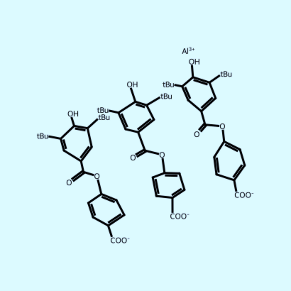 CC(C)(C)c1cc(C(=O)Oc2ccc(C(=O)[O-])cc2)cc(C(C)(C)C)c1O.CC(C)(C)c1cc(C(=O)Oc2ccc(C(=O)[O-])cc2)cc(C(C)(C)C)c1O.CC(C)(C)c1cc(C(=O)Oc2ccc(C(=O)[O-])cc2)cc(C(C)(C)C)c1O.[Al+3]